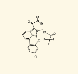 CCN(CC)C(=O)c1c2cccc(-c3ccc(Cl)cc3Cl)c2nn1C.O=C(O)C(F)(F)F